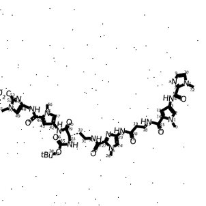 Cn1cc(NC(=O)c2nccn2C)cc1C(=O)NCCC(=O)Nc1cn(C)c(C(=O)NCC[C@H](NC(=O)OC(C)(C)C)C(=O)Nc2cc(C(=O)Nc3cn(C)c(C(=O)O)n3)n(C)c2)n1